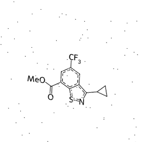 COC(=O)c1cc(C(F)(F)F)cc2c(C3CC3)nsc12